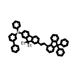 CCC1(CC)c2cc(/C=C/c3cccc4c3-c3ccccc3C4(c3ccccc3)c3ccccc3)ccc2-c2ccc(N(c3ccccc3)c3cccc(-c4ccccc4)c3)cc21